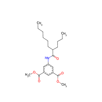 CCCCCCC(CCCC)C(=O)Nc1cc(C(=O)OC)cc(C(=O)OC)c1